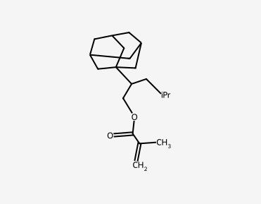 C=C(C)C(=O)OCC(CC(C)C)C12CC3CC(CC(C3)C1)C2